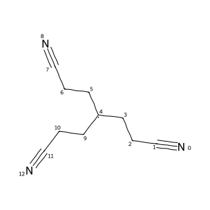 N#CCC[C](CCC#N)CCC#N